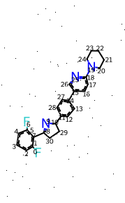 Fc1cccc(F)c1C1=NC(c2ccc(-c3ccc(N4CCCCC4)nc3)cc2)CC1